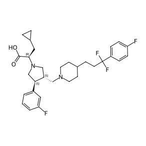 O=C(O)[C@@H](CC1CC1)N1C[C@H](CN2CCC(CCC(F)(F)c3ccc(F)cc3)CC2)[C@@H](c2cccc(F)c2)C1